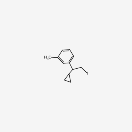 Cc1cccc(C(CI)C2CC2)c1